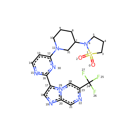 O=S1(=O)CCCN1C1CCCN(c2ccnc(-c3cnc4cnc(C(F)(F)F)cn34)n2)C1